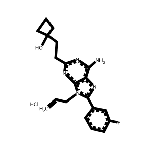 C=CCn1c(-c2cccc(F)c2)nc2c(N)nc(CCC3(O)CCC3)nc21.Cl